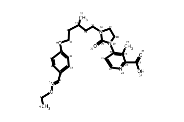 CCON=Cc1ccc(OCCC(C)CCN2CCN(c3ccnc(C(=O)O)c3C)C2=O)cc1